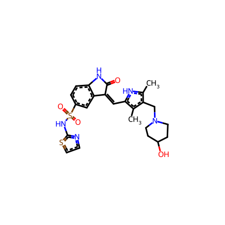 Cc1[nH]c(/C=C2\C(=O)Nc3ccc(S(=O)(=O)Nc4nccs4)cc32)c(C)c1CN1CCC(O)CC1